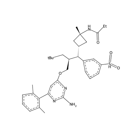 CCC(=O)N[C@]1(C)C[C@H](C(c2cccc([SH](=O)=O)c2)[C@@H](COc2cc(-c3c(C)cccc3C)nc(N)n2)CC(C)(C)C)C1